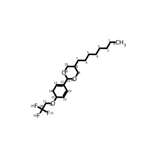 CCCCCCCCC1COC(C2=CCC(OCC(F)(F)F)C=C2)OC1